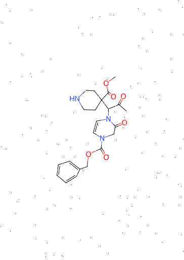 COC(=O)C1(C(C(C)=O)N2C=CN(C(=O)OCc3ccccc3)CC2=O)CCNCC1